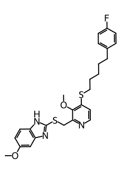 COc1ccc2[nH]c(SCc3nccc(SCCCCCc4ccc(F)cc4)c3OC)nc2c1